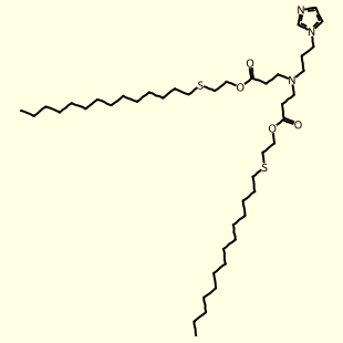 CCCCCCCCCCCCCCSCCOC(=O)CCN(CCCn1ccnc1)CCC(=O)OCCSCCCCCCCCCCCCCC